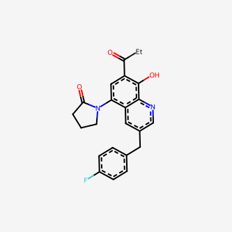 CCC(=O)c1cc(N2CCCC2=O)c2cc(Cc3ccc(F)cc3)cnc2c1O